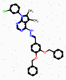 Cc1c(C)n(-c2cccc(Cl)c2)c2ncnc(N/N=C/c3ccc(OCc4ccccc4)c(OCc4ccccc4)c3)c12